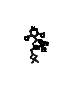 CC[Si](CC)(CC)OC(CNCC1CC(C)(C)C1)c1c(Cl)cncc1Cl